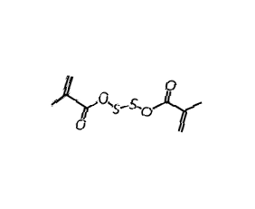 C=C(C)C(=O)OSSOC(=O)C(=C)C